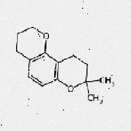 CC1(C)CCc2c(ccc3c2OCCC3)O1